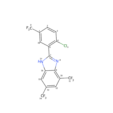 FC(F)(F)c1ccc(Cl)c(-c2nc3c(C(F)(F)F)cc(C(F)(F)F)cc3[nH]2)c1